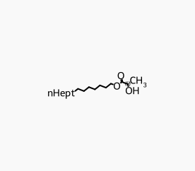 CCCCCCCCCCCCCCOC(=O)[C@H](C)O